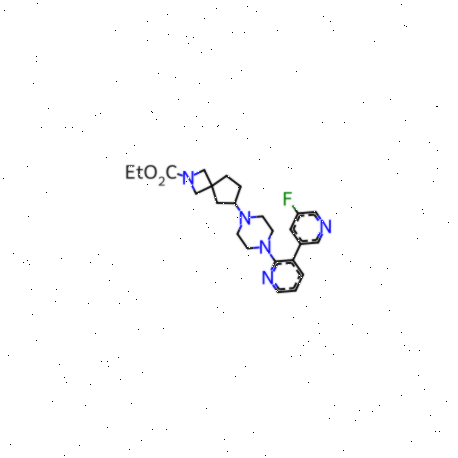 CCOC(=O)N1CC2(CCC(N3CCN(c4ncccc4-c4cncc(F)c4)CC3)C2)C1